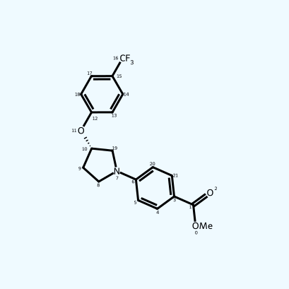 COC(=O)c1ccc(N2CC[C@H](Oc3ccc(C(F)(F)F)cc3)C2)cc1